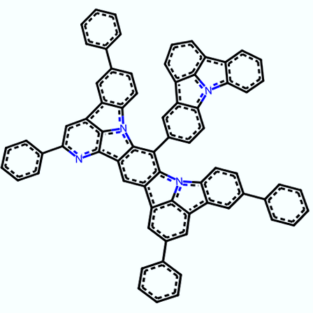 c1ccc(-c2ccc3c(c2)c2cc(-c4ccccc4)cc4c5cc6c7nc(-c8ccccc8)cc8c9cc(-c%10ccccc%10)ccc9n(c6c(-c6ccc9c(c6)c6cccc%10c%11ccccc%11n9c%106)c5n3c24)c87)cc1